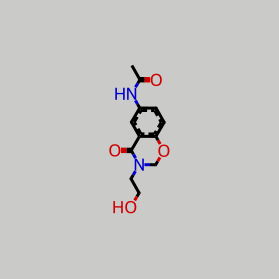 CC(=O)Nc1ccc2c(c1)C(=O)N(CCO)CO2